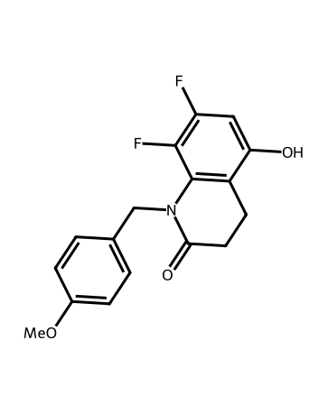 COc1ccc(CN2C(=O)CCc3c(O)cc(F)c(F)c32)cc1